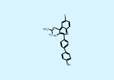 CC(Nc1c(C#N)c(-c2ccc(-c3ccc(C(C)(C)C)cc3)cc2)nc2ccc(F)cc12)C(=O)O